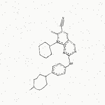 CN1CCN(c2ccc(Nc3ncc4cc(C#N)c(=O)n(C5CCCCC5)c4n3)cc2)CC1